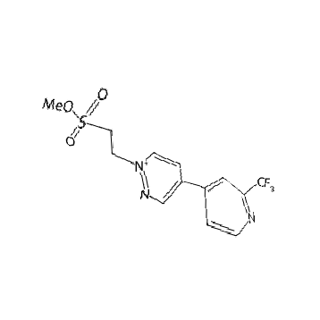 COS(=O)(=O)CC[n+]1ccc(-c2ccnc(C(F)(F)F)c2)cn1